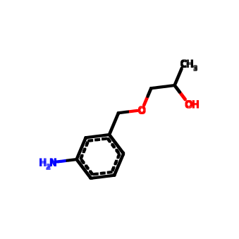 CC(O)COCc1cccc(N)c1